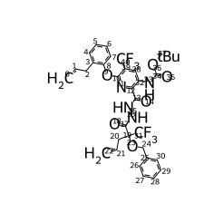 C=CCc1ccccc1Oc1nc(C(=O)NNC(=O)C(CC=C)(OCc2ccccc2)C(F)(F)F)c(NC(=O)OC(C)(C)C)cc1C(F)(F)F